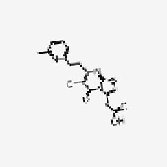 Cc1cccc(/C=C/c2nc3scc(CC(=O)O)n3c(=O)c2Cl)n1